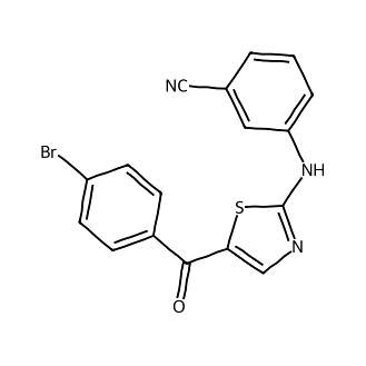 N#Cc1cccc(Nc2ncc(C(=O)c3ccc(Br)cc3)s2)c1